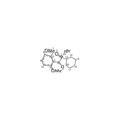 CCCP(=O)(C(=O)c1c(OC)cccc1OC)C1CCCCC1